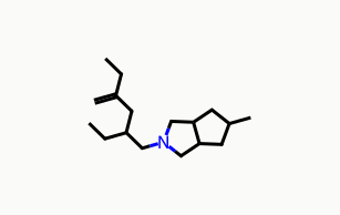 C=C(CC)CC(CC)CN1CC2CC(C)CC2C1